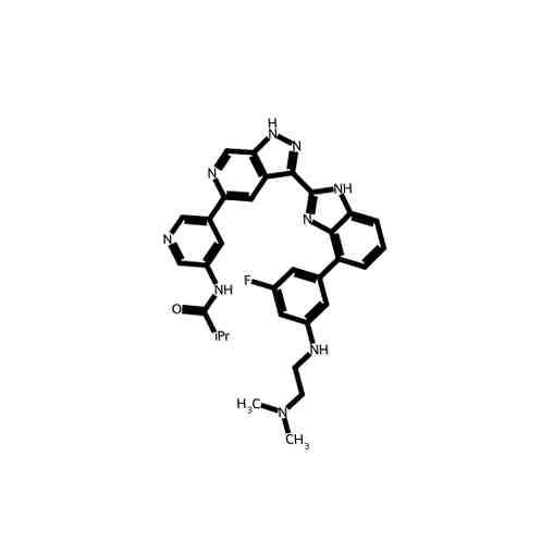 CC(C)C(=O)Nc1cncc(-c2cc3c(-c4nc5c(-c6cc(F)cc(NCCN(C)C)c6)cccc5[nH]4)n[nH]c3cn2)c1